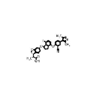 Cc1noc(C)c1-c1ccc(Oc2ccc(F)c3c2CC[C@H]3Oc2ccc3c(c2)OC[C@H]3[C@H](C)C(=O)O)c(C#N)c1